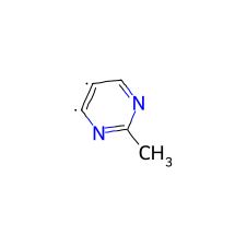 Cc1n[c][c]cn1